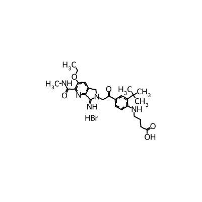 Br.CCOc1cc2c(nc1C(=O)NC)C(=N)N(CC(=O)c1ccc(NCCCC(=O)O)c(C(C)(C)C)c1)C2